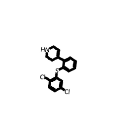 Clc1ccc(Cl)c(Sc2ccccc2C2=CCNCC2)c1